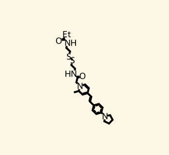 CCC(=O)NCCSSCCNC(=O)CN1C=CC(/C=C/c2ccc(N3CCCC3)cc2)=CC1C